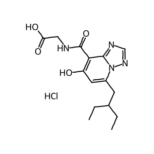 CCC(CC)Cc1cc(O)c(C(=O)NCC(=O)O)c2ncnn12.Cl